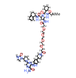 CNCC(=O)N[C@H](C(=O)N1C[C@@H](NC(=O)CCOCCOCCOCCOCCC(=O)N2CCC(c3ccc(Nc4nc(N5CCC[C@@H](N6CCN(C)C6=O)C5)cnc4C(N)=O)cc3)CC2)C[C@H]1C(=O)N[C@@H]1CCCc2ccccc21)C1CCCCC1